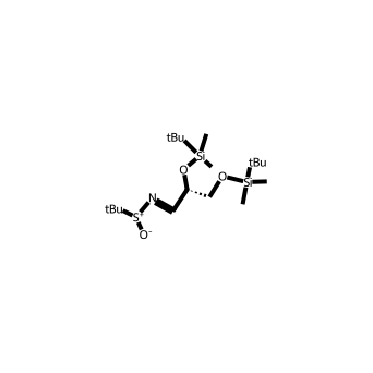 CC(C)(C)[S+]([O-])/N=C/[C@@H](CO[Si](C)(C)C(C)(C)C)O[Si](C)(C)C(C)(C)C